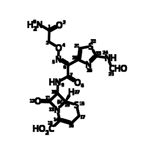 NC(=O)CON=C(C(=O)NC1C(=O)N2C(C(=O)O)=CCS[C@@H]12)c1csc(NC=O)n1